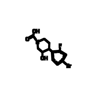 O=C(O)N1CCC(c2ccc(Br)cc2F)C(O)C1